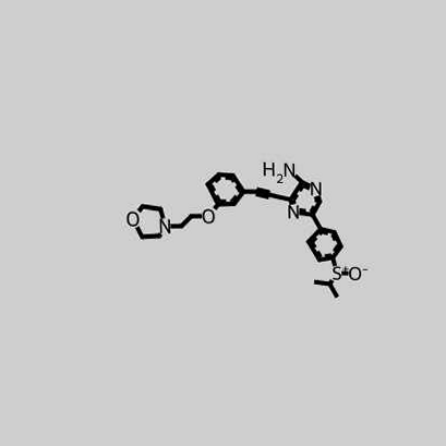 CC(C)[S+]([O-])c1ccc(-c2cnc(N)c(C#Cc3cccc(OCCN4CCOCC4)c3)n2)cc1